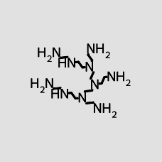 NCCNCCN(CCN)CCN(CCN)CCN(CCN)CCNCCN